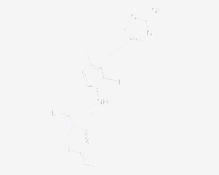 C\C=C(Cl)/C=C(SSNc1ccc(F)c(C#CC2=CNC(N)N=C2)c1F)\C(C)=C(/C)CC